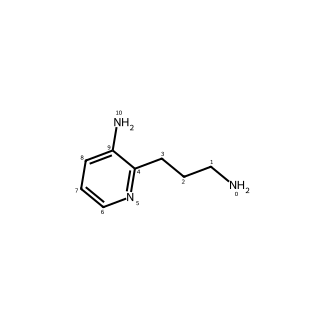 NCCCc1ncccc1N